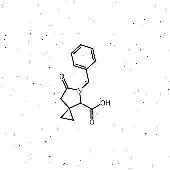 O=C(O)C1N(Cc2ccccc2)C(=O)CC12CC2